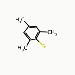 Cc1cc(C)c([S])c(C)c1